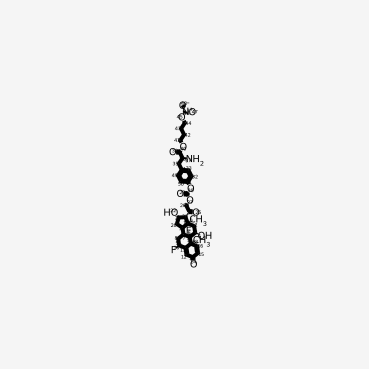 C[C@]12C[C@H](O)[C@@]3(F)C(C[C@H](F)C4=CC(=O)C=C[C@@]43C)C1C[C@@H](O)[C@@H]2C(=O)COC(=O)Oc1ccc(C[C@H](N)C(=O)OCCCCO[N+](=O)[O-])cc1